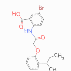 CCC(C)c1ccccc1OCC(=O)Nc1ccc(Br)cc1C(=O)O